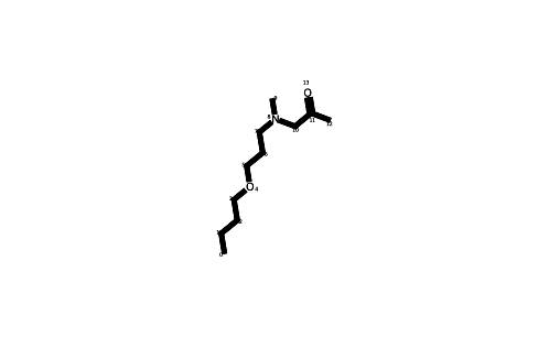 CCCCOCCCN(C)CC(C)=O